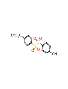 CCOC(=O)c1ccc(S(=O)(=O)S(=O)(=O)c2ccc(C#N)cc2)cc1